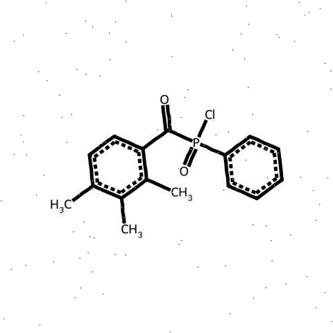 Cc1ccc(C(=O)P(=O)(Cl)c2ccccc2)c(C)c1C